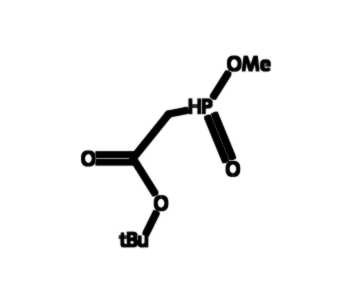 CO[PH](=O)CC(=O)OC(C)(C)C